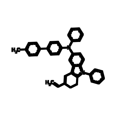 C=CC1=Cc2c(n(-c3ccccc3)c3ccc(N(c4ccccc4)c4ccc(-c5ccc(C)cc5)cc4)cc23)CC1